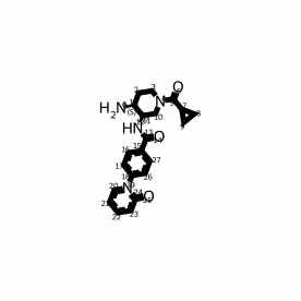 N[C@H]1CCN(C(=O)C2CC2)C[C@H]1NC(=O)c1ccc(-n2ccccc2=O)cc1